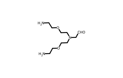 NCCOCCN(CC=O)CCOCCN